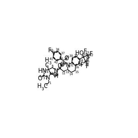 CCN1C(=O)NC(C)(CNC(=O)C[C@@H]2CCc3cc(C(O)(C(F)(F)F)C(F)(F)F)ccc3N2S(=O)(=O)c2ccc(F)cc2)C1=O